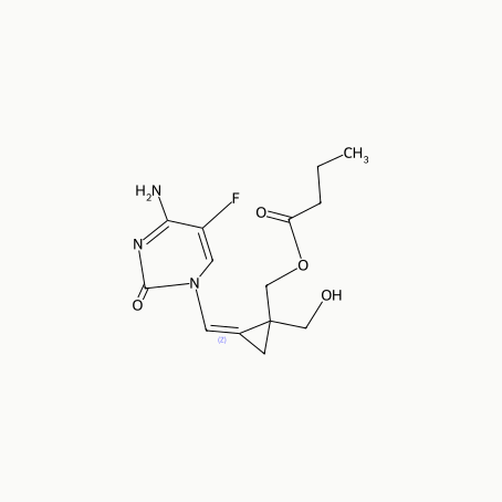 CCCC(=O)OCC1(CO)C/C1=C/n1cc(F)c(N)nc1=O